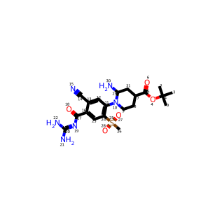 CC(C)(C)OC(=O)C1CCN(c2cc(C#N)c(C(=O)N=C(N)N)cc2S(C)(=O)=O)C(N)C1